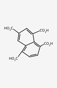 O=C(O)c1cc(C(=O)O)c2c(C(=O)O)ccc(C(=O)O)c2c1